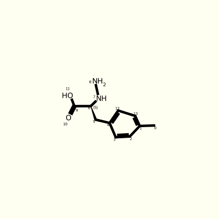 Cc1ccc(C[C@H](NN)C(=O)O)cc1